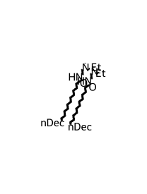 CCCCCCCCCCCCCCCCCCCCCC(=O)NCCN(C)C.CCCCCCCCCCCCCCCCCCCCCC(=O)NCCN(CC)CC